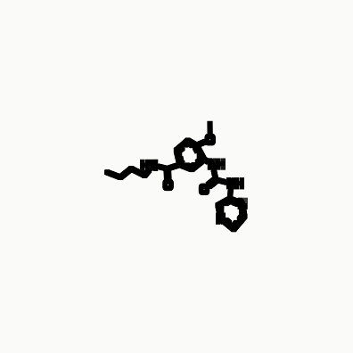 CCCCNC(=O)c1ccc(OC)c(NC(=O)Nc2cnccn2)c1